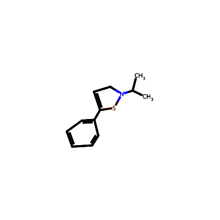 CC(C)N1CC=C(c2ccccc2)S1